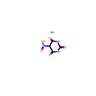 O=C1NC(=O)C([N+](=O)O)C(=O)N1.[KH]